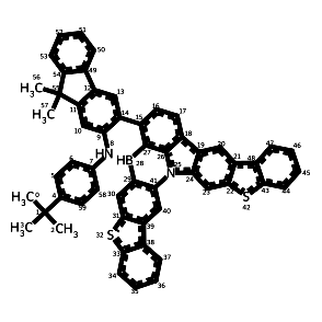 CC(C)(C)c1ccc(Nc2cc3c(cc2-c2ccc4c5cc6c(cc5n5c4c2Bc2cc4sc7ccccc7c4cc2-5)sc2ccccc26)-c2ccccc2C3(C)C)cc1